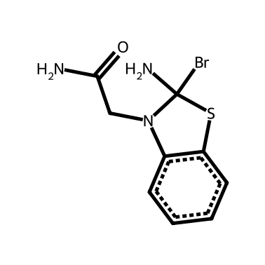 NC(=O)CN1c2ccccc2SC1(N)Br